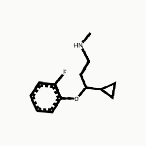 CNCCC(Oc1ccccc1F)C1CC1